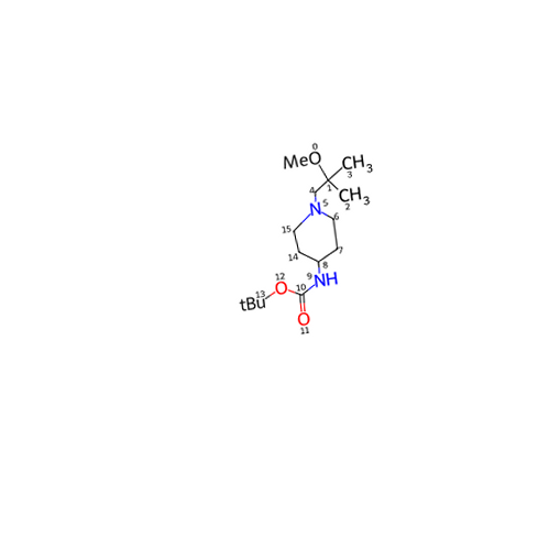 COC(C)(C)CN1CCC(NC(=O)OC(C)(C)C)CC1